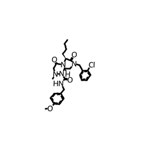 CCCC[C@H]1C(=O)N(Cc2ccccc2Cl)C[C@H]2N1C(=O)CN(C)N2C(=O)NCc1ccc(OC)cc1